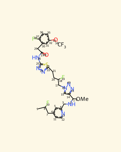 COC(NCc1cc(CC(C)F)ccn1)c1cn(CC(F)CCc2nnc(NC(=O)Cc3cc(OC(F)(F)F)ccc3F)s2)nn1